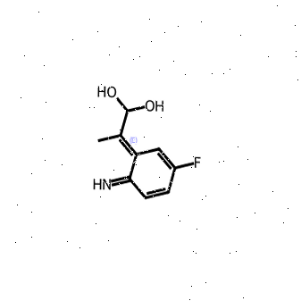 C/C(=C1/C=C(F)C=CC1=N)C(O)O